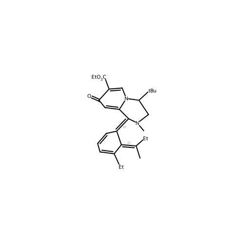 CCOC(=O)c1cn2c(cc1=O)/C(=c1\cccc(CC)\c1=C(/C)CC)N(C)CC2C(C)(C)C